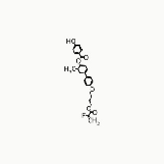 C=C(F)C(=O)OCCCCOc1ccc(C2=CC=C(OC(=O)c3ccc(O)cc3)C(C)C2)cc1